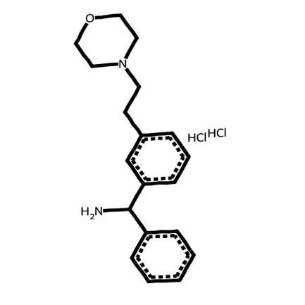 Cl.Cl.NC(c1ccccc1)c1cccc(CCN2CCOCC2)c1